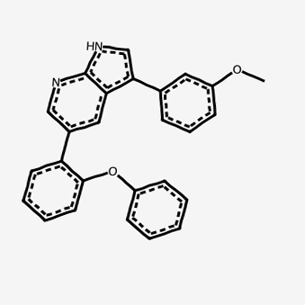 COc1cccc(-c2c[nH]c3ncc(-c4ccccc4Oc4ccccc4)cc23)c1